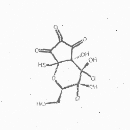 O=C1C(=O)C2(S)O[C@H](CO)[C@@](O)(Cl)[C@@](O)(Cl)[C@]2(O)C1=O